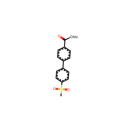 COC(=O)c1ccc(-c2ccc(S(C)(=O)=O)cc2)cc1